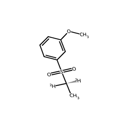 [1H][C@@]([2H])(C)S(=O)(=O)c1cccc(OC)c1